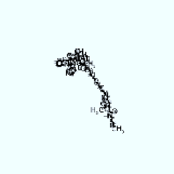 CCC(=O)N(CCC(=O)NCCCOC)Cc1cn(CCOCCOCCOCCOCC(C)(C)C(C)(C)OB(O)[C@@H](CC(C)C)NC(=O)[C@@H](Cc2ccccc2)NC(=O)c2cnccn2)nn1